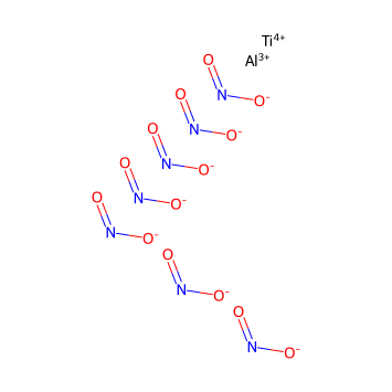 O=N[O-].O=N[O-].O=N[O-].O=N[O-].O=N[O-].O=N[O-].O=N[O-].[Al+3].[Ti+4]